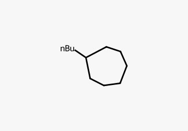 CCCCC1CCCCCC1